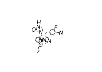 C=CCOc1cccc(C(C(Cc2ccc(C#N)c(F)c2)c2cnc(C)[nH]2)N2CCNC(=O)C2)n1